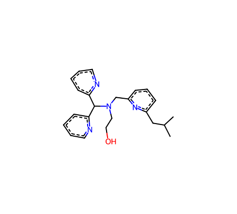 CC(C)Cc1cccc(CN(CCO)C(c2ccccn2)c2ccccn2)n1